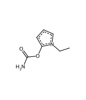 CCn1cccc1OC(N)=O